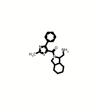 Cc1nc(-c2ccccc2)c(C(=O)N2CC3CCCCC3C2CN)s1